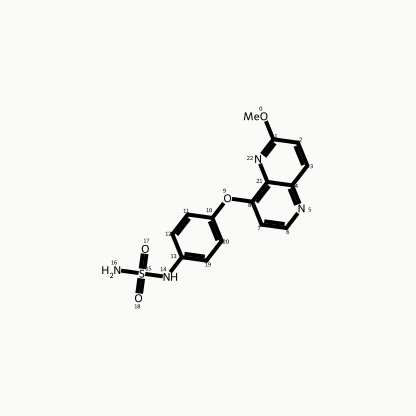 COc1ccc2nccc(Oc3ccc(NS(N)(=O)=O)cc3)c2n1